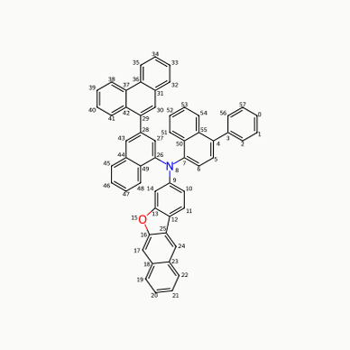 c1ccc(-c2ccc(N(c3ccc4c(c3)oc3cc5ccccc5cc34)c3cc(-c4cc5ccccc5c5ccccc45)cc4ccccc34)c3ccccc23)cc1